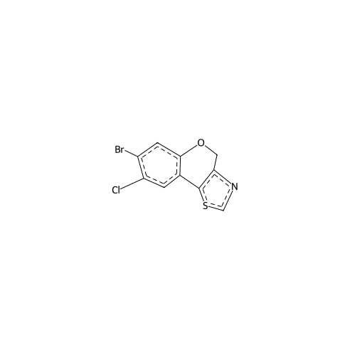 Clc1cc2c(cc1Br)OCc1ncsc1-2